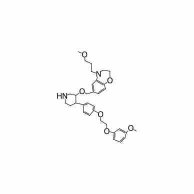 COCCCN1CCOc2ccc(COC3CNCCC3c3ccc(OCCOc4cccc(OC)c4)cc3)cc21